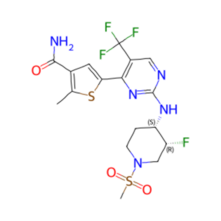 Cc1sc(-c2nc(N[C@H]3CCN(S(C)(=O)=O)C[C@H]3F)ncc2C(F)(F)F)cc1C(N)=O